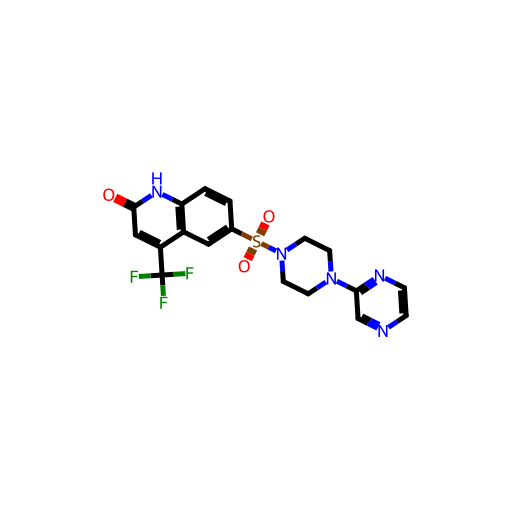 O=c1cc(C(F)(F)F)c2cc(S(=O)(=O)N3CCN(c4cnccn4)CC3)ccc2[nH]1